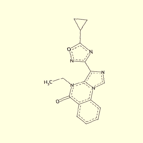 CCn1c(=O)c2ccccc2n2cnc(-c3noc(C4CC4)n3)c12